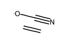 C=C.N#C[O]